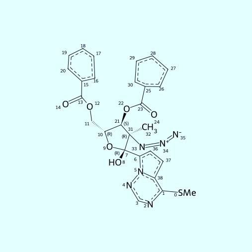 CSc1ncnn2c([C@]3(O)O[C@H](COC(=O)c4ccccc4)[C@@H](OC(=O)c4ccccc4)[C@@]3(C)N=[N+]=[N-])ccc12